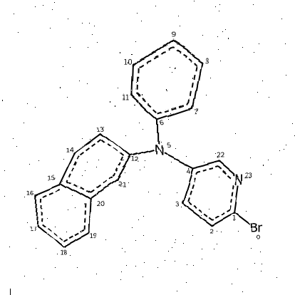 Brc1ccc(N(c2ccccc2)c2ccc3ccccc3c2)cn1